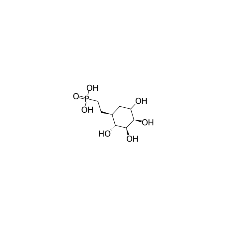 O=P(O)(O)CC[C@H]1CC(O)[C@@H](O)[C@@H](O)[C@@H]1O